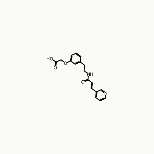 O=C(O)COc1cccc(CCNC(=O)/C=C/c2cccnc2)c1